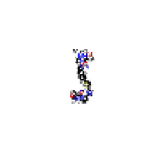 COC(=O)NC(C(=O)N1CCC[C@H]1c1cc2cc3ccc(-c4ccc(-c5cnc([C@@H]6CCCN6C(=O)C(NC(=O)OC)C(C)C)[nH]5)s4)cc3cc2[nH]1)C(C)C